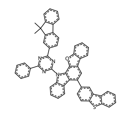 CC1(C)c2ccccc2-c2ccc(-c3nc(-c4ccccc4)nc(-n4c5ccccc5c5c(-c6ccc7sc8ccccc8c7c6)cc6c7ccccc7oc6c54)n3)cc21